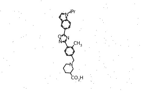 Cc1cc(CN2CCCC(C(=O)O)C2)ccc1-c1noc(-c2ccc3c(ccn3C(C)C)c2)n1